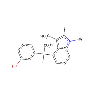 Cc1c(C(=O)O)c2c(C(C)(C(=O)O)c3cccc(O)c3)cccc2n1C(C)C